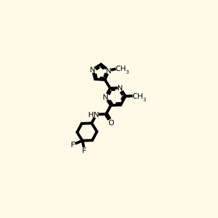 Cc1cc(C(=O)NC2CCC(F)(F)CC2)nc(-c2cncn2C)n1